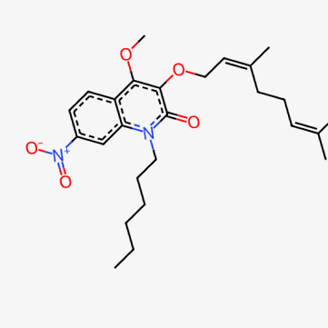 CCCCCCn1c(=O)c(OCC=C(C)CCC=C(C)C)c(OC)c2ccc([N+](=O)[O-])cc21